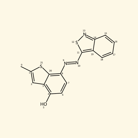 Cc1cc2c(O)ccc(/N=N/c3snc4ccccc34)c2s1